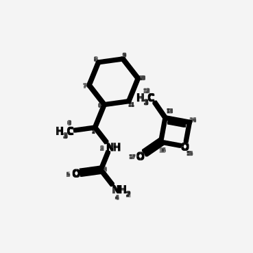 CC(NC(N)=O)C1CCCCC1.CC1=COC1=O